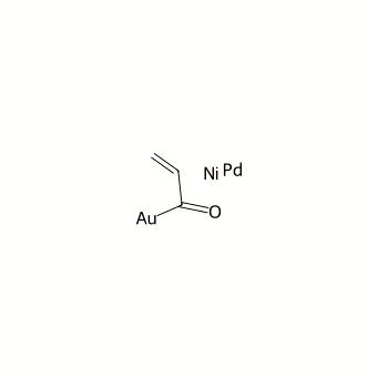 C=C[C](=O)[Au].[Ni].[Pd]